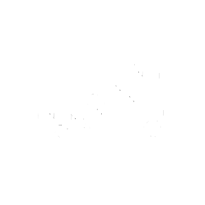 CN(C)CCN(Cc1ccc(C(=O)Nc2cscc2N)nc1)C(=O)NCCc1ccccc1F